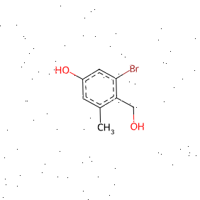 Cc1cc(O)cc(Br)c1CO